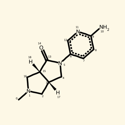 CN1C[C@H]2CN(c3ccc(N)nc3)C(=O)[C@H]2C1